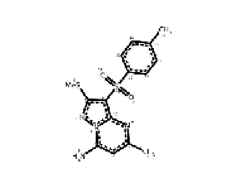 CSc1nn2c(N)cc(C)nc2c1S(=O)(=O)c1ccc(C)cc1